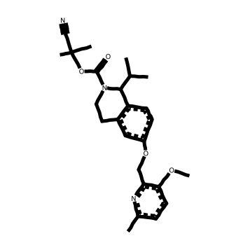 COc1ccc(C)nc1COc1ccc2c(c1)CCN(C(=O)OC(C)(C)C#N)C2C(C)C